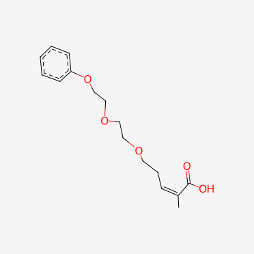 CC(=CCCOCCOCCOc1ccccc1)C(=O)O